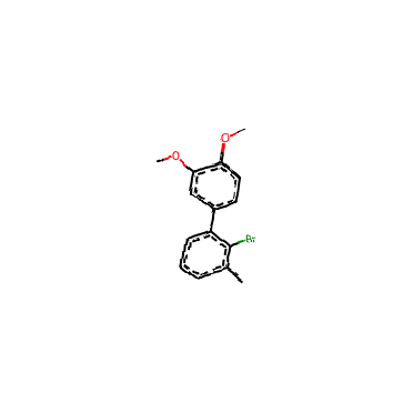 COc1ccc(-c2cccc(C)c2Br)cc1OC